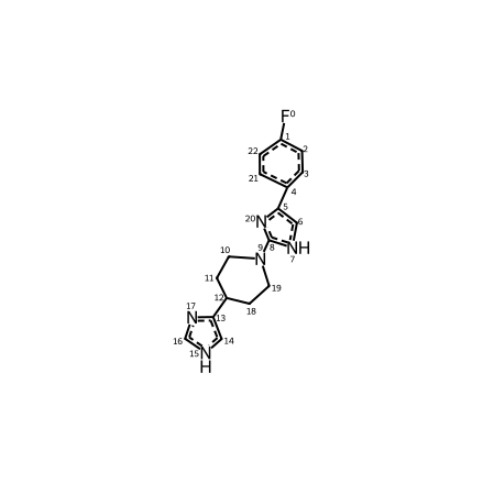 Fc1ccc(-c2c[nH]c(N3CCC(c4c[nH]cn4)CC3)n2)cc1